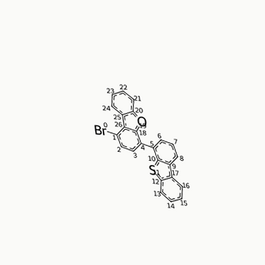 Brc1ccc(-c2cccc3c2sc2ccccc23)c2oc3ccccc3c12